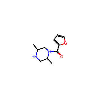 CC1CN(C(=O)c2ccco2)C(C)CN1